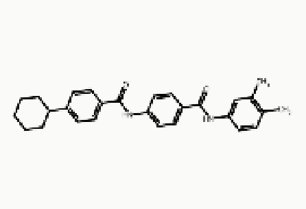 Cc1ccc(NC(=O)c2ccc(NC(=O)c3ccc(C4CCCCC4)cc3)cc2)cc1C